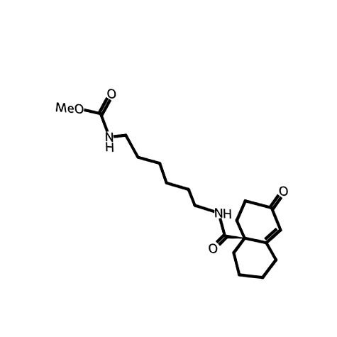 COC(=O)NCCCCCCNC(=O)[C@]12CCCCC1=CC(=O)CC2